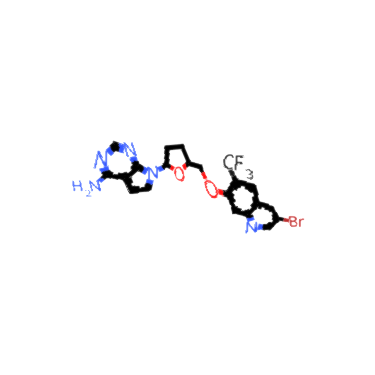 Nc1ncnc2c1ccn2C1CCC(COc2cc3ncc(Br)cc3cc2C(F)(F)F)O1